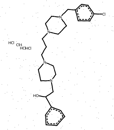 Cl.Cl.Cl.Cl.OC(CN1CCN(CCCN2CCN(Cc3ccc(Cl)cc3)CC2)CC1)c1ccccc1